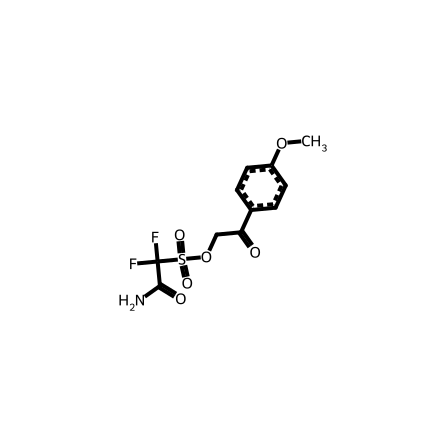 COc1ccc(C(=O)COS(=O)(=O)C(F)(F)C(N)=O)cc1